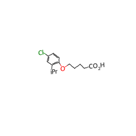 CC(C)c1cc(Cl)ccc1OCCCCC(=O)O